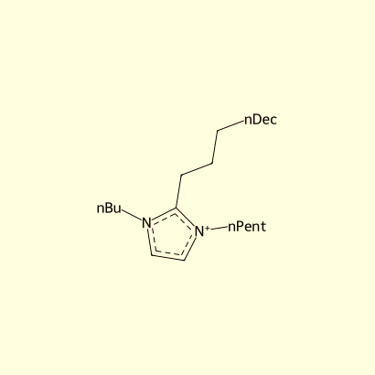 CCCCCCCCCCCCCc1n(CCCC)cc[n+]1CCCCC